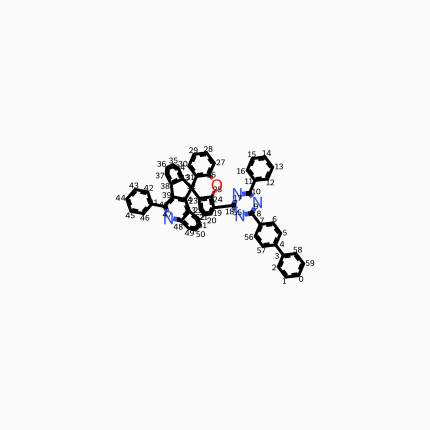 c1ccc(-c2ccc(-c3nc(-c4ccccc4)nc(-c4cccc5c4Oc4ccccc4C54c5ccccc5-c5c(-c6ccccc6)nc6ccccc6c54)n3)cc2)cc1